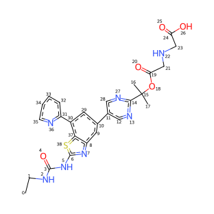 CCNC(=O)Nc1nc2cc(-c3cnc(C(C)(C)OC(=O)CNCC(=O)O)nc3)cc(-c3ccccn3)c2s1